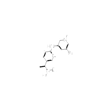 C=C(c1ccc(NC2=CC(Br)=CN(C)C2)nc1)N(CC)CC